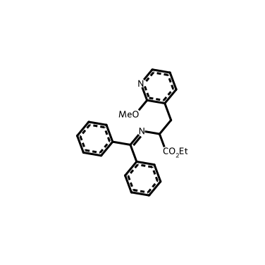 CCOC(=O)C(Cc1cccnc1OC)N=C(c1ccccc1)c1ccccc1